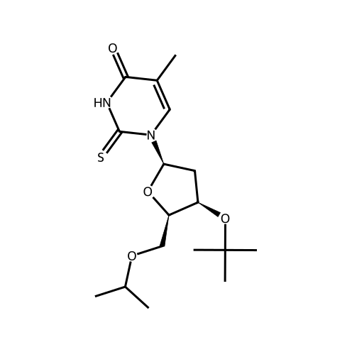 Cc1cn([C@H]2C[C@@H](OC(C)(C)C)[C@@H](COC(C)C)O2)c(=S)[nH]c1=O